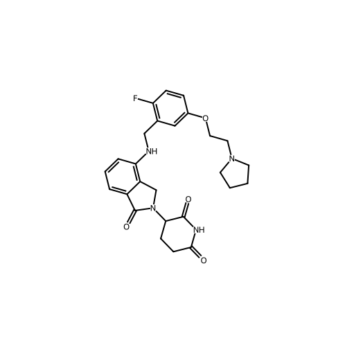 O=C1CCC(N2Cc3c(NCc4cc(OCCN5CCCC5)ccc4F)cccc3C2=O)C(=O)N1